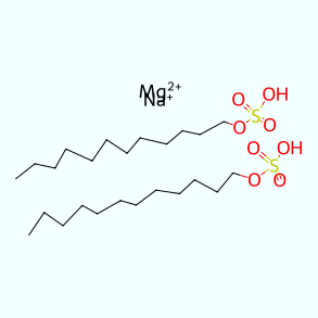 CCCCCCCCCCCCOS(=O)(=O)O.CCCCCCCCCCCCOS(=O)(=O)O.[Mg+2].[Na+]